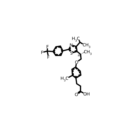 Cc1cc(OC[C@@H](C)c2sc(-c3ccc(C(F)(F)F)cc3)nc2C(C)C)ccc1CCC(=O)O